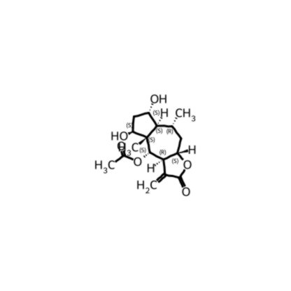 C=C1C(=O)O[C@H]2C[C@@H](C)[C@@H]3[C@@H](O)C[C@H](O)[C@@]3(C)[C@@H](OC(C)=O)[C@H]12